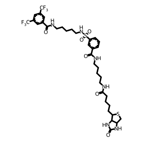 O=C(CCCCC1SCC2NC(=O)NC21)NCCCCCNC(=O)c1cccc(S(=O)(=O)NCCCCCNC(=O)c2cc(C(F)(F)F)cc(C(F)(F)F)c2)c1